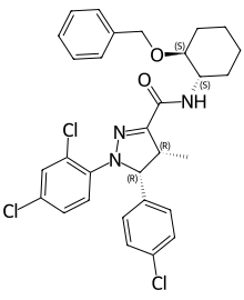 C[C@H]1C(C(=O)N[C@H]2CCCC[C@@H]2OCc2ccccc2)=NN(c2ccc(Cl)cc2Cl)[C@H]1c1ccc(Cl)cc1